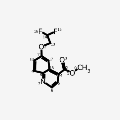 COC(=O)c1ccnc2ccc(OCC(F)F)cc12